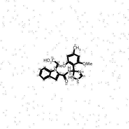 COc1cc(C)cc(OC)c1C1(NC(=O)c2cc3ccccc3n2CC(=O)O)N=CSN1